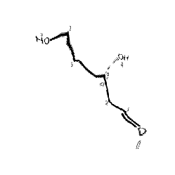 O=[C]C[C@@H](O)CCO